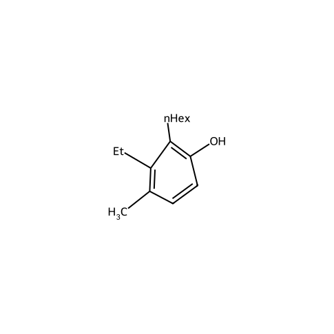 CCCCCCc1c(O)ccc(C)c1CC